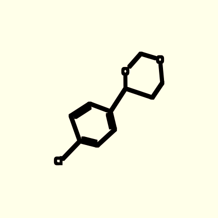 Clc1ccc(C2CCOCO2)cc1